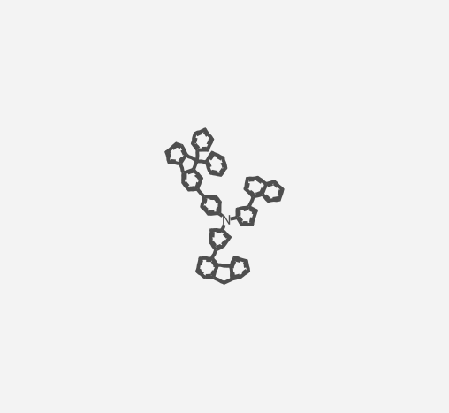 c1ccc(C2(c3ccccc3)c3ccccc3-c3ccc(-c4ccc(N(c5ccc(-c6cccc7c6-c6ccccc6C7)cc5)c5cccc(-c6cccc7ccccc67)c5)cc4)cc32)cc1